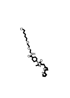 CC1=N/C(=C\c2ccc(-c3cccs3)s2)C(=O)N1C1CCC(C(=O)NCCOCCOCCCCCCCl)CC1